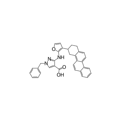 O=C(O)c1cn(Cc2ccccc2)nc1Nc1occc1C1CCc2ccc3c(ccc4ccccc43)c2C1